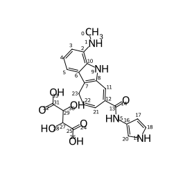 CNc1cccc2c3c([nH]c12)C=C(C(=O)Nc1cc[nH]c1)C=CC3.O=C(O)C(O)C(O)C(=O)O